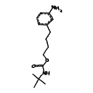 CC(C)(C)NC(=O)OCCCCc1cccc(N)c1